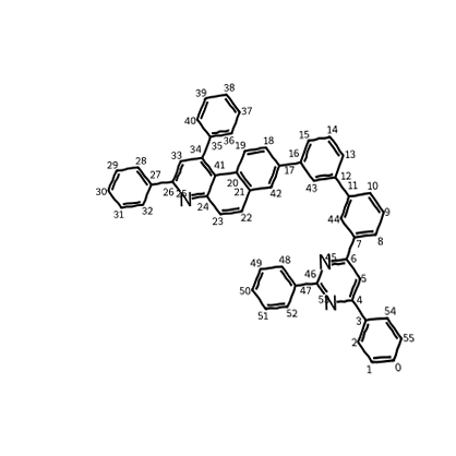 c1ccc(-c2cc(-c3cccc(-c4cccc(-c5ccc6c(ccc7nc(-c8ccccc8)cc(-c8ccccc8)c76)c5)c4)c3)nc(-c3ccccc3)n2)cc1